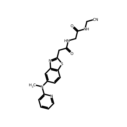 CN(c1ccc2sc(CC(=O)NCC(=O)NCC#N)nc2c1)c1ccccn1